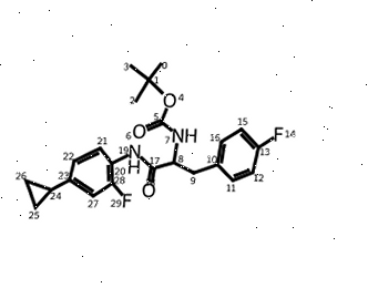 CC(C)(C)OC(=O)NC(Cc1ccc(F)cc1)C(=O)Nc1ccc(C2CC2)cc1F